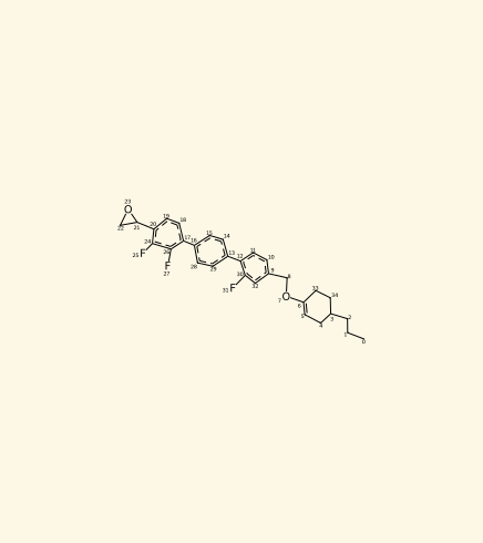 CCCC1CC=C(OCc2ccc(-c3ccc(-c4ccc(C5CO5)c(F)c4F)cc3)c(F)c2)CC1